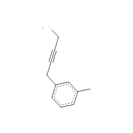 Cc1cccc(CC#CCN)c1